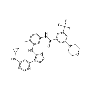 Cc1ccc(NC(=O)c2cc(N3CCOCC3)cc(C(F)(F)F)c2)cc1Nc1nccn1-c1cc(NC2CC2)ncn1